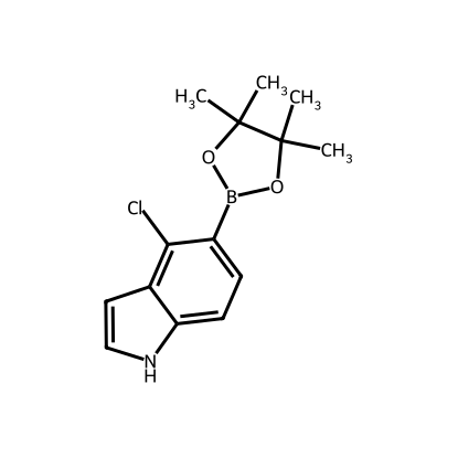 CC1(C)OB(c2ccc3[nH]ccc3c2Cl)OC1(C)C